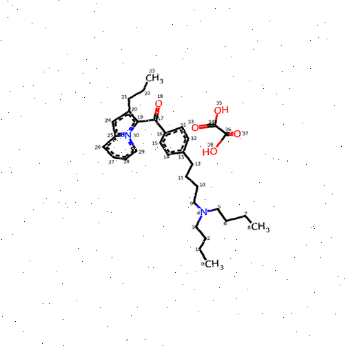 CCCCN(CCCC)CCCCc1ccc(C(=O)c2c(CCC)cc3ccccn23)cc1.O=C(O)C(=O)O